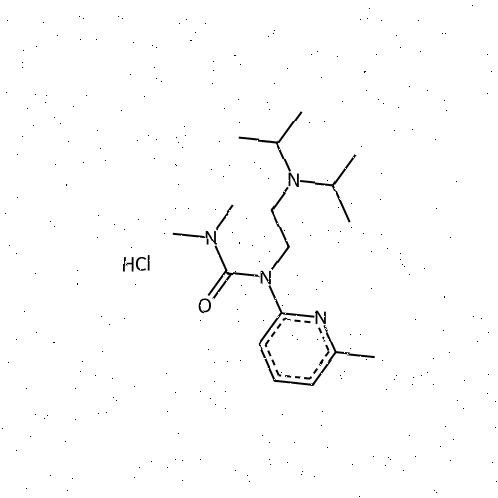 Cc1cccc(N(CCN(C(C)C)C(C)C)C(=O)N(C)C)n1.Cl